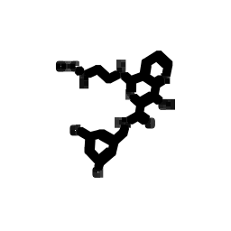 O=CNCCNc1nc(C(=O)NCc2cc(Cl)cc(Cl)c2)c(O)c2ncccc12